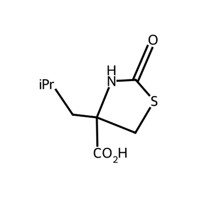 CC(C)CC1(C(=O)O)CSC(=O)N1